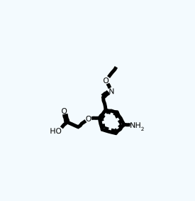 CO/N=C/c1cc(N)ccc1OCC(=O)O